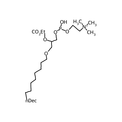 CCCCCCCCCCCCCCCCCCOCC(COP(O)OCC[N+](C)(C)C)OC(=O)OCC